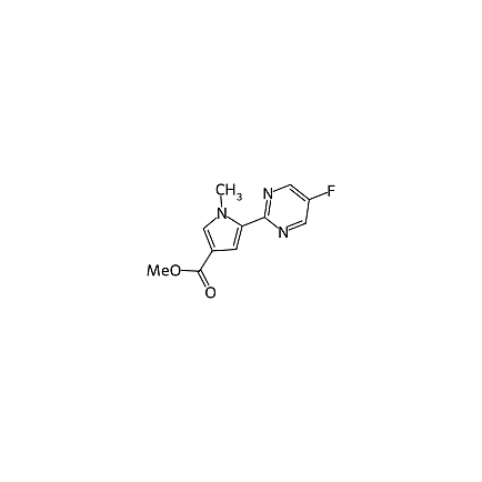 COC(=O)c1cc(-c2ncc(F)cn2)n(C)c1